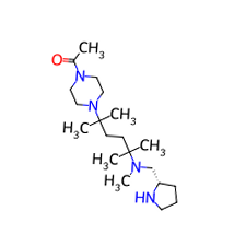 CC(=O)N1CCN(C(C)(C)CCC(C)(C)N(C)C[C@@H]2CCCN2)CC1